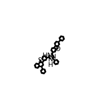 c1ccc(C2=NC(c3ccc4c(c3)oc3cc(-c5ccccc5)ccc34)NC(c3ccc4sc5c6ccccc6c(-c6ccccc6)cc5c4c3)N2)cc1